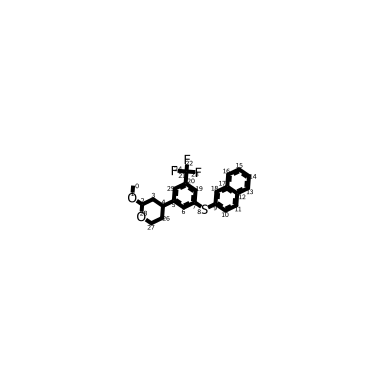 COC1CC(c2cc(Sc3ccc4ccccc4c3)cc(C(F)(F)F)c2)CCO1